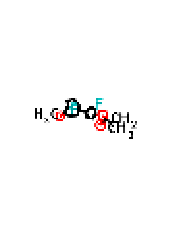 C=C(C)C(=O)Oc1ccc(C2=C/CC/C(F)=C(OC)/C=C\2)cc1F